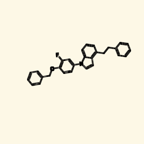 Fc1cc(-n2ccc3c(CCc4ccccc4)cccc32)ccc1OCc1ccccc1